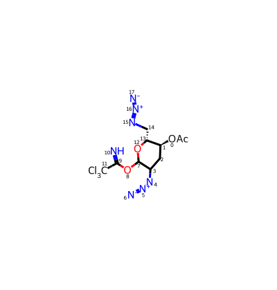 CC(=O)O[C@H]1CC(N=[N+]=[N-])C(OC(=N)C(Cl)(Cl)Cl)O[C@@H]1CN=[N+]=[N-]